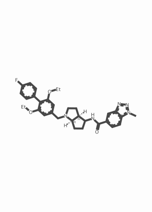 CCOc1cc(CN2CC[C@H]3C(NC(=O)c4ccc5c(c4)nnn5C)CC[C@H]32)cc(OCC)c1-c1ccc(F)cc1